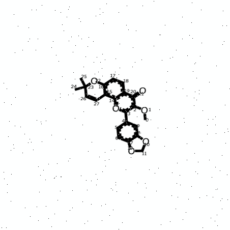 COc1c(-c2ccc3c(c2)OCO3)oc2c3c(ccc2c1=O)OC(C)(C)C=C3